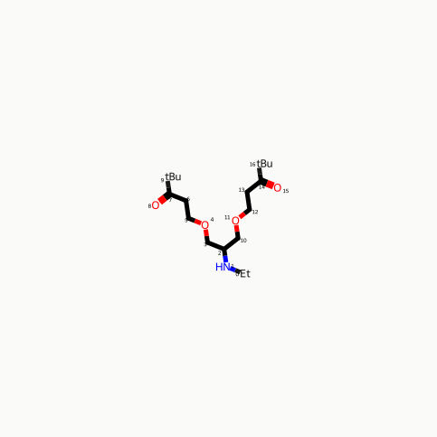 CCNC(COCCC(=O)C(C)(C)C)COCCC(=O)C(C)(C)C